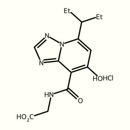 CCC(CC)c1cc(O)c(C(=O)NCC(=O)O)c2ncnn12.Cl